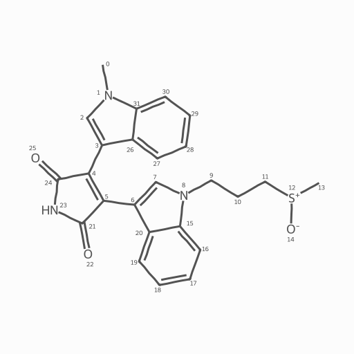 Cn1cc(C2=C(c3cn(CCC[S+](C)[O-])c4ccccc34)C(=O)NC2=O)c2ccccc21